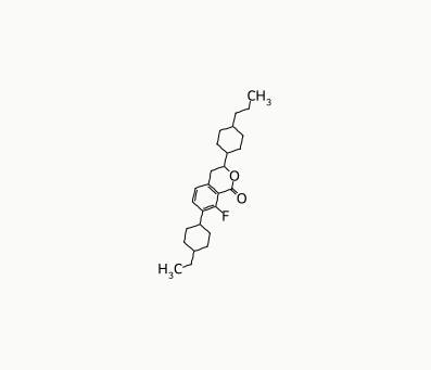 CCCC1CCC(C2Cc3ccc(C4CCC(CC)CC4)c(F)c3C(=O)O2)CC1